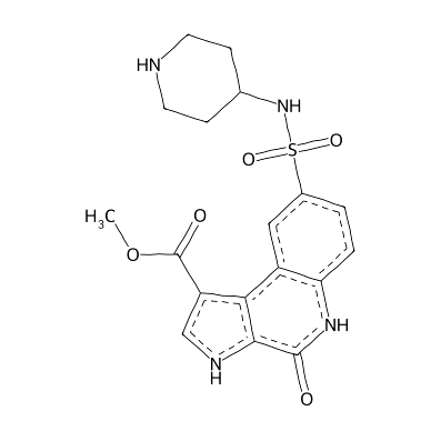 COC(=O)c1c[nH]c2c(=O)[nH]c3ccc(S(=O)(=O)NC4CCNCC4)cc3c12